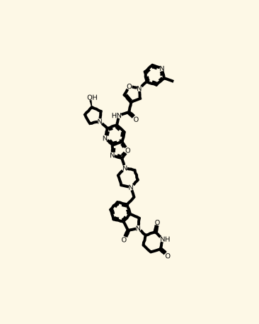 Cc1cc(N2CC(C(=O)Nc3cc4oc(N5CCN(Cc6cccc7c6CN(C6CCC(=O)NC6=O)C7=O)CC5)nc4nc3N3CC[C@@H](O)C3)=CO2)ccn1